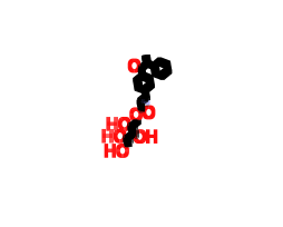 C=C(C(=O)c1ccc(/C=C/C(=O)OC[C@@H](O)[C@H](O)[C@H](O)CO)cc1)c1ccccc1